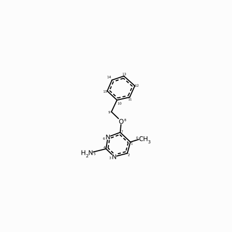 Cc1cnc(N)nc1OCc1ccccc1